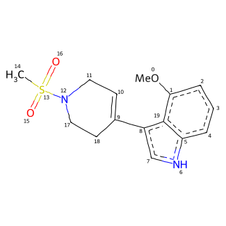 COc1cccc2[nH]cc(C3=CCN(S(C)(=O)=O)CC3)c12